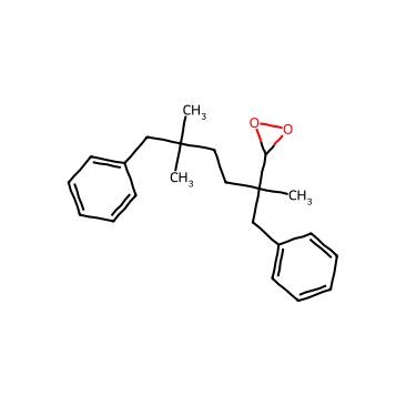 CC(C)(CCC(C)(Cc1ccccc1)C1OO1)Cc1ccccc1